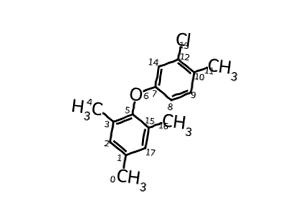 Cc1cc(C)c(Oc2ccc(C)c(Cl)c2)c(C)c1